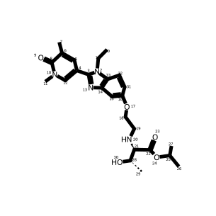 CCn1c(-c2cc(C)c(=O)n(C)c2)nc2cc(OCCN[C@H](C(=O)OC(C)C)[C@H](C)O)ccc21